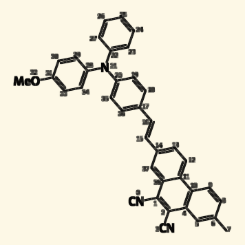 [C-]#[N+]c1c(C#N)c2cc(C)ccc2c2ccc(C=Cc3ccc(N(c4ccccc4)c4ccc(OC)cc4)cc3)cc12